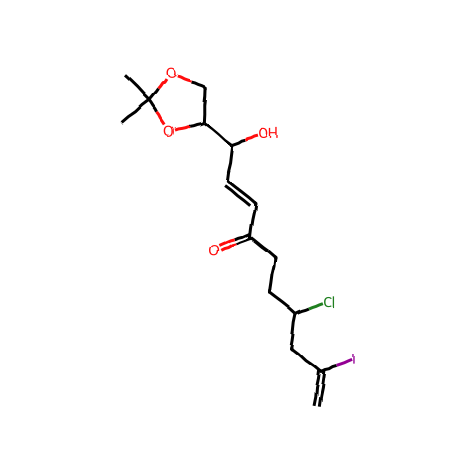 C=C(I)CC(Cl)CCC(=O)C=CC(O)C1COC(C)(C)O1